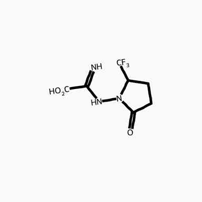 N=C(NN1C(=O)CCC1C(F)(F)F)C(=O)O